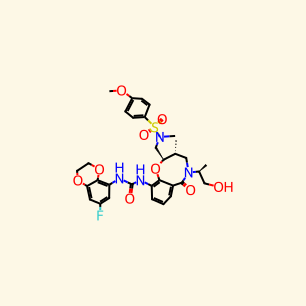 COc1ccc(S(=O)(=O)N(C)C[C@@H]2Oc3c(NC(=O)Nc4cc(F)cc5c4OCCO5)cccc3C(=O)N([C@@H](C)CO)C[C@H]2C)cc1